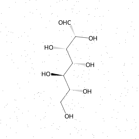 O=C[C@H](O)[C@@H](O)[C@H](O)[C@H](O)[C@H](O)CO